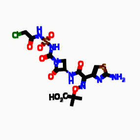 CC(C)(ON=C(C(=O)N[C@H]1CN(C(=O)NS(=O)(=O)NC(=O)CCl)C1=O)c1csc(N)n1)C(=O)O